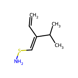 C=C/C(=C\SN)C(C)C